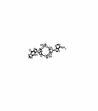 C=C1OP(=O)(S)OC[C@H]2O[C@@H](n3cnc4c(N)ncnc43)C[C@@H]2OP(=O)(S)OC[C@H]2C[C@@H](n3cnc4c(=O)n5nnnc5[nH]c43)[C@H]12